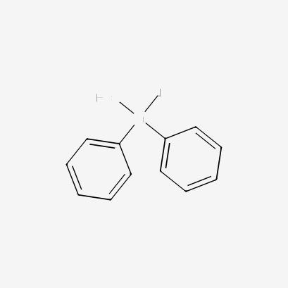 C[Si](I)(c1ccccc1)c1ccccc1